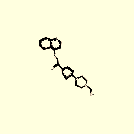 CC(C)CN1CCN(c2ccc(C(=O)CSc3ccnc4ccccc34)cc2)CC1